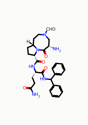 NC(=O)CC[C@H](NC(=O)[C@@H]1CC[C@@H]2CCN(C=O)C[C@H](N)C(=O)N21)C(=O)NC(c1ccccc1)c1ccccc1